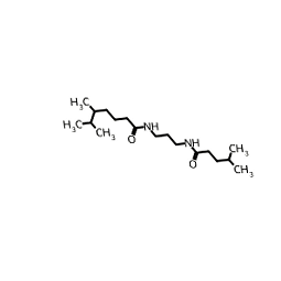 CC(C)CCC(=O)NCCCNC(=O)CCCC(C)C(C)C